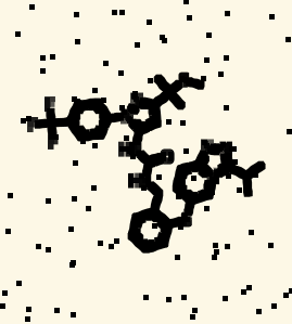 CSC(C)(C)c1cc(NC(=O)NCc2ccccc2Sc2ccc3nnc(C(C)C)n3c2)n(-c2ccc(C(F)(F)F)cc2)n1